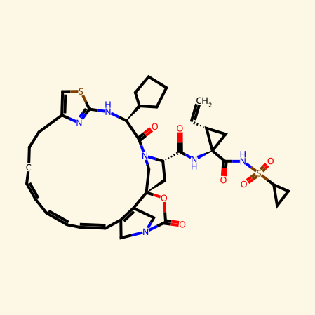 C=C[C@@H]1C[C@]1(NC(=O)[C@@H]1C[C@]23CN1C(=O)[C@H](C1CCCC1)Nc1nc(cs1)CCCC=CC=CC=CC1=C2CN(C1)C(=O)O3)C(=O)NS(=O)(=O)C1CC1